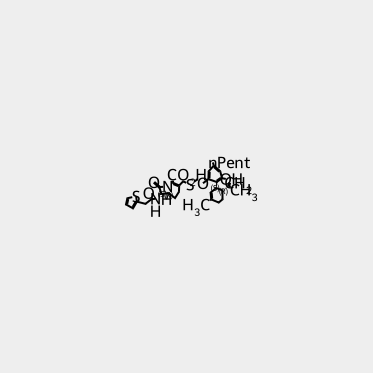 C=C(C)[C@@H]1CCC(C)=C[C@H]1c1c(O)cc(CCCCC)cc1OCSCC1=C(C(=O)O)N2C(=O)[C@@H](NC(=O)Cc3cccs3)[C@H]2CC1